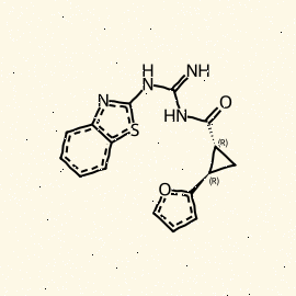 N=C(NC(=O)[C@@H]1C[C@H]1c1ccco1)Nc1nc2ccccc2s1